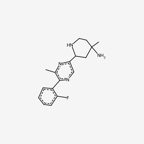 Cc1nc(C2CC(C)(N)CCN2)cnc1-c1ccccc1F